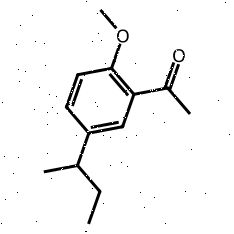 CCC(C)c1ccc(OC)c(C(C)=O)c1